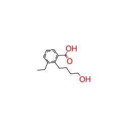 CCc1cccc(C(=O)O)c1CCCCO